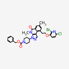 Cc1cc(CCOc2ccc(Cl)nc2Br)c2c(c1)c(=O)n(C)c1c2cnn1C1CCN(C(=O)OCc2ccccc2)CC1